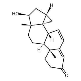 C[C@]12CCC(=O)C=C1C=C[C@@H]1[C@@H]2CC[C@]2(C)[C@@H](O)C[C@@H]3C[C@]312